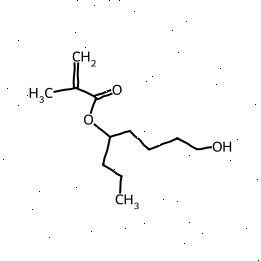 C=C(C)C(=O)OC(CCC)CCCCO